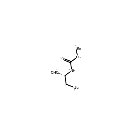 CC(C)(C)C[C@H](C=O)NC(=O)OC(C)(C)C